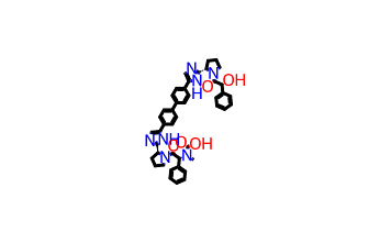 CN(C(=O)O)[C@@H](C(=O)N1CCC[C@H]1c1ncc(-c2ccc(-c3ccc(-c4cnc([C@@H]5CCCN5C(=O)[C@H](O)c5ccccc5)[nH]4)cc3)cc2)[nH]1)c1ccccc1